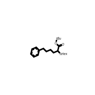 CCCCCCC(CCCCc1ccccc1)C(=O)OC(C)(C)C